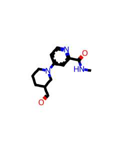 CNC(=O)c1cc(N2CCCC(C=O)C2)ccn1